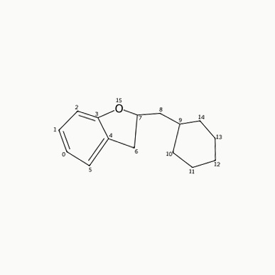 c1ccc2c(c1)CC(CC1CCCCC1)O2